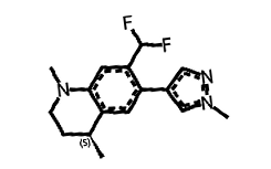 C[C@H]1CCN(C)c2cc(C(F)F)c(-c3cnn(C)c3)cc21